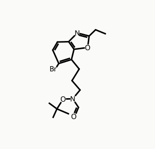 CCc1nc2ccc(Br)c(CCCN(C=O)OC(C)(C)C)c2o1